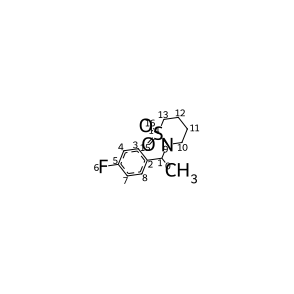 CC(c1ccc(F)cc1)N1CCCCS1(=O)=O